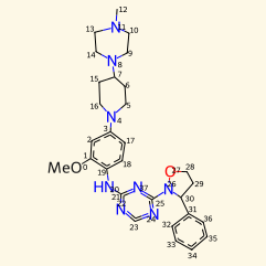 COc1cc(N2CCC(N3CCN(C)CC3)CC2)ccc1Nc1ncnc(N2OCCC2c2ccccc2)n1